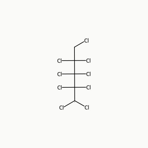 ClCC(Cl)(Cl)C(Cl)(Cl)C(Cl)(Cl)[C](Cl)Cl